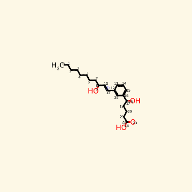 CCCCCCCCC(O)/C=C/c1cccc(C(O)CCCC(=O)O)c1